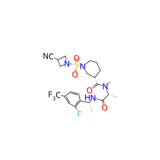 C[C@H](C(=O)N[C@H](C)c1ccc(C(F)(F)F)cc1F)N(C)C(=O)[C@H]1CCCN(S(=O)(=O)N2CC(C#N)C2)C1